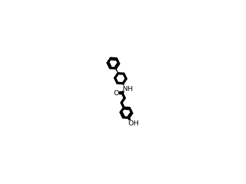 O=C(CCc1ccc(O)cc1)N[C@H]1CC[C@H](c2ccccc2)CC1